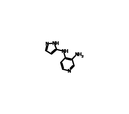 Nc1cnccc1Nc1ccn[nH]1